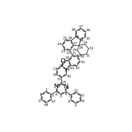 c1ccc(-c2cc(-c3ccccc3)nc(-c3ccc4oc5c(-c6cccc7c6C6(CCCCC6)c6ccccc6-7)cccc5c4c3)n2)cc1